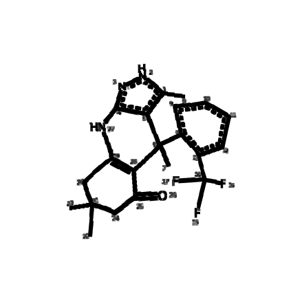 Cc1[nH]nc2c1C(C)(c1ccccc1C(F)(F)F)C1=C(CC(C)(C)CC1=O)N2